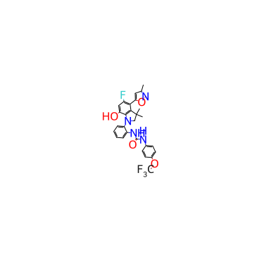 Cc1cc(-c2c(F)cc(O)c3c2C(C)(C)CN3c2ccccc2NC(=O)Nc2ccc(OC(F)(F)F)cc2)on1